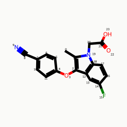 Cc1c(Oc2ccc(C#N)cc2)c2cc(F)ccc2n1CC(=O)O